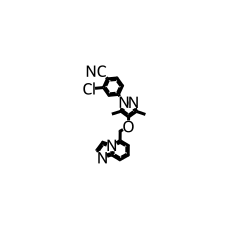 Cc1nn(-c2ccc(C#N)c(Cl)c2)c(C)c1OCc1cccc2nccn12